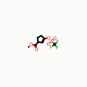 COC(=O)C1C=C(OS(=O)(=O)C(F)(F)F)CC1